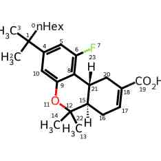 CCCCCCC(C)(C)c1cc(F)c2c(c1)OC(C)(C)[C@@H]1CC=C(C(=O)O)C[C@@H]21